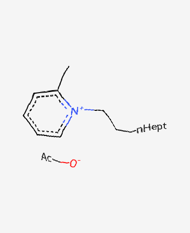 CC(=O)[O-].CCCCCCCCC[n+]1ccccc1C